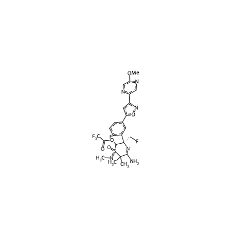 CN=[S@@]1(=O)C(OC(=O)C(F)(F)F)[C@@](CF)(c2cc(-c3cc(-c4cnc(OC)cn4)no3)ccc2F)N=C(N)C1(C)C